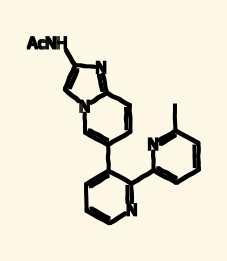 CC(=O)Nc1cn2cc(-c3cccnc3-c3cccc(C)n3)ccc2n1